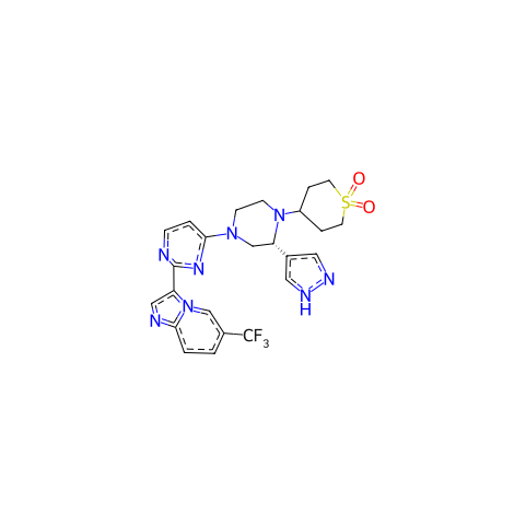 O=S1(=O)CCC(N2CCN(c3ccnc(-c4cnc5ccc(C(F)(F)F)cn45)n3)C[C@H]2c2cn[nH]c2)CC1